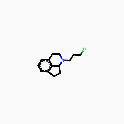 ClCCCN1CCc2cccc3c2C1CC3